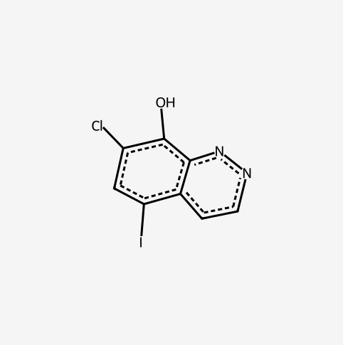 Oc1c(Cl)cc(I)c2ccnnc12